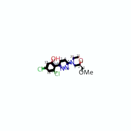 COC[C@H]1CN(c2ccc(-c3c(O)cc(Cl)cc3Cl)nn2)CCO1